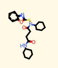 O=C(CCC(=O)N(Sc1nc2ccccc2o1)C1CCCCC1)NC1CCCCC1